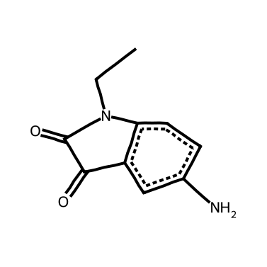 CCN1C(=O)C(=O)c2cc(N)ccc21